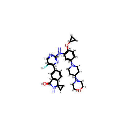 O=C1NC2(CC2)c2ccc(-c3nc(Nc4cc(N5CCC(N6CCOCC6)CC5)ccc4OC4CC4)ncc3F)cc21